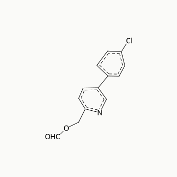 O=COCc1ccc(-c2ccc(Cl)cc2)cn1